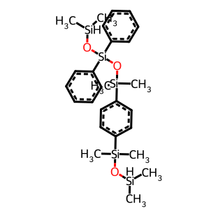 C[SiH](C)O[Si](C)(C)c1ccc([Si](C)(C)O[Si](O[SiH](C)C)(c2ccccc2)c2ccccc2)cc1